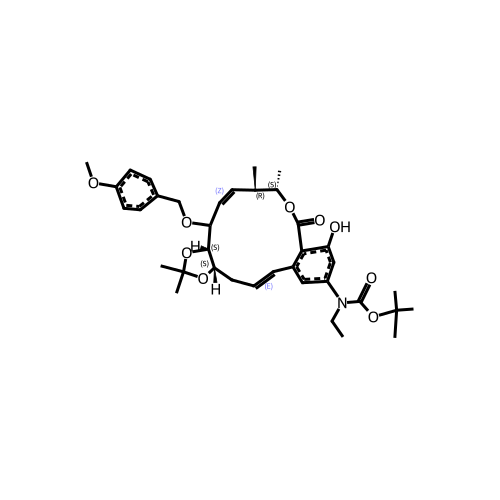 CCN(C(=O)OC(C)(C)C)c1cc(O)c2c(c1)/C=C/C[C@@H]1OC(C)(C)O[C@@H]1C(OCc1ccc(OC)cc1)/C=C\[C@@H](C)[C@H](C)OC2=O